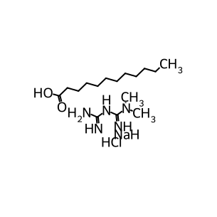 CCCCCCCCCCCC(=O)O.CN(C)C(=N)NC(=N)N.Cl.[NaH]